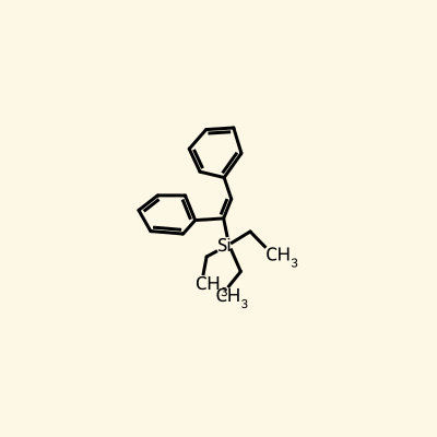 CC[Si](CC)(CC)/C(=C/c1ccccc1)c1ccccc1